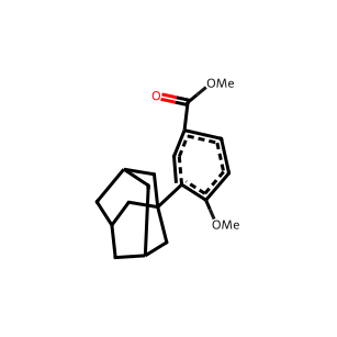 [CH2]OC(=O)c1ccc(OC)c(C23CC4CC(CC(C4)C2)C3)c1